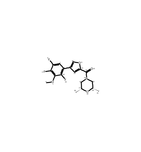 COc1c(F)c(F)cc(-c2coc(C(=O)N3C[C@@H](C)O[C@@H](C)C3)c2)c1F